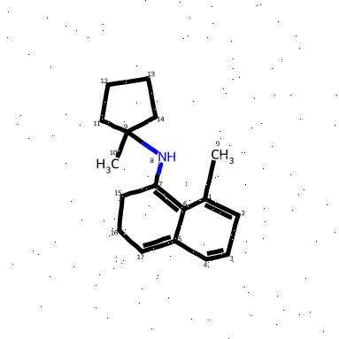 Cc1cccc2c1=C(NC1(C)CCCC1)CCC=2